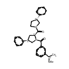 CN[C@H](C)c1cccc(C(=O)N2C[C@@H](c3ccccc3)C[C@H]2C(=O)N2CC[C@H](c3ccccc3)C2)c1